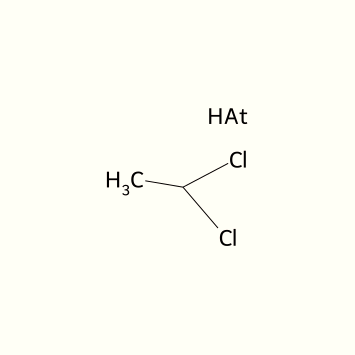 CC(Cl)Cl.[AtH]